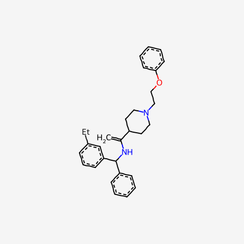 C=C(NC(c1ccccc1)c1cccc(CC)c1)C1CCN(CCOc2ccccc2)CC1